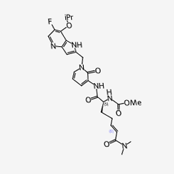 COC(=O)N[C@@H](CC/C=C/C(=O)N(C)C)C(=O)Nc1cccn(Cc2cc3ncc(F)c(OC(C)C)c3[nH]2)c1=O